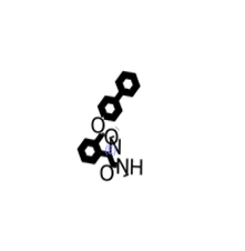 CNC(=O)/C(=N/OC)c1ccccc1COc1ccc(-c2ccccc2)cc1